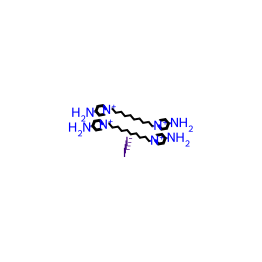 Nc1cc[n+](CCCCCCCCCC[n+]2ccc(N)cc2)cc1.Nc1cc[n+](CCCCCCCCCC[n+]2ccc(N)cc2)cc1.[I-].[I-].[I-].[I-]